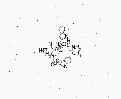 CC(N)CC(C)C(CC(CC(C)CS(=O)(=O)Cc1cnc2ccccc2c1)NCC#N)S(=O)(=O)Cc1cnc2ccccc2c1.Cl.Cl